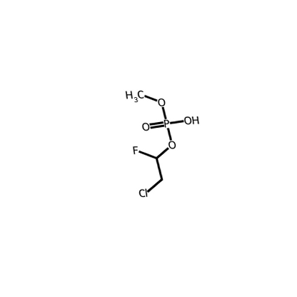 COP(=O)(O)OC(F)CCl